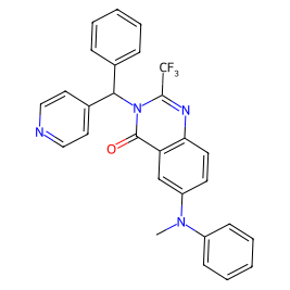 CN(c1ccccc1)c1ccc2nc(C(F)(F)F)n(C(c3ccccc3)c3ccncc3)c(=O)c2c1